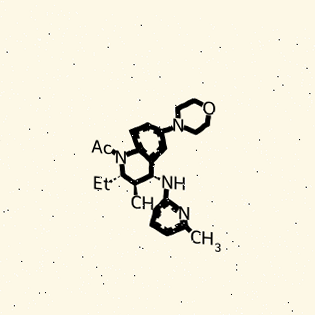 CC[C@H]1[C@H](C)[C@@H](Nc2cccc(C)n2)c2cc(N3CCOCC3)ccc2N1C(C)=O